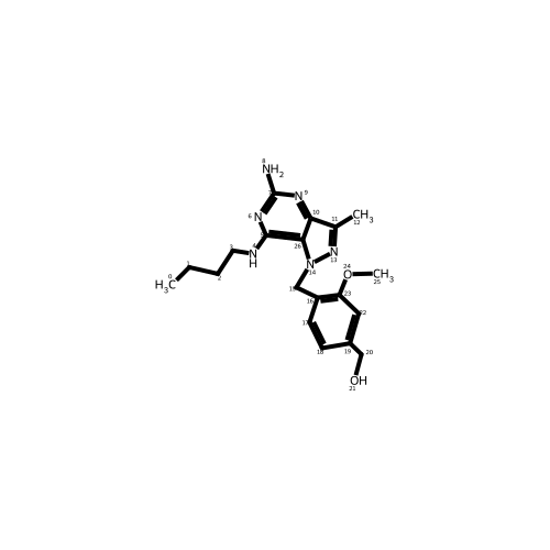 CCCCNc1nc(N)nc2c(C)nn(Cc3ccc(CO)cc3OC)c12